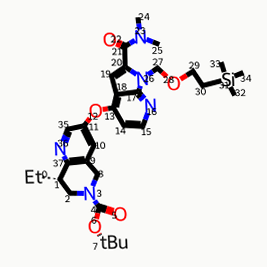 CC[C@H]1CN(C(=O)OC(C)(C)C)Cc2cc(Oc3ccnc4c3cc(C(=O)N(C)C)n4COCC[Si](C)(C)C)cnc21